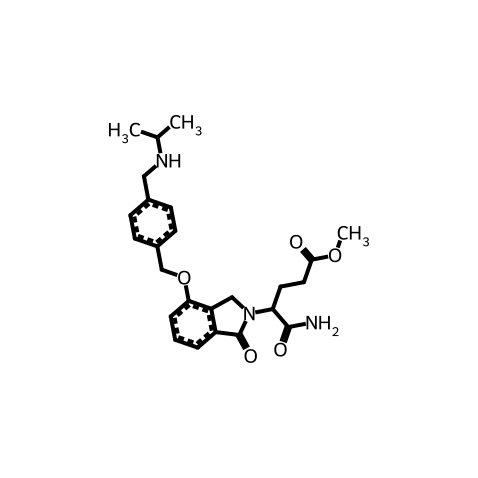 COC(=O)CCC(C(N)=O)N1Cc2c(OCc3ccc(CNC(C)C)cc3)cccc2C1=O